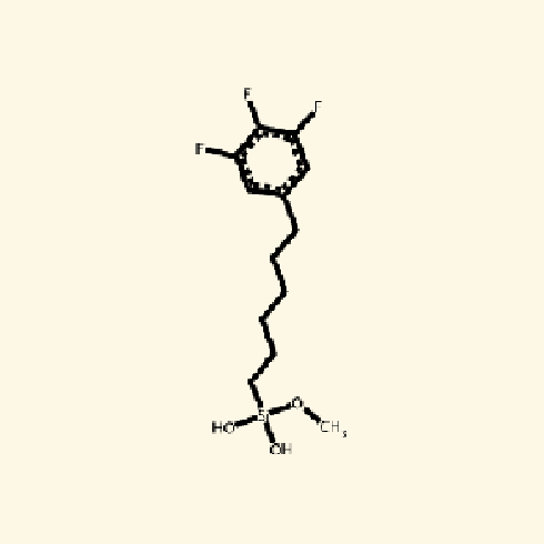 CO[Si](O)(O)CCCCCCc1cc(F)c(F)c(F)c1